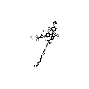 COC(=O)C1CN(c2ccc3c(c2)[Si](C)(C)c2cc(N4CCC4)ccc2C32OC(=O)c3ccc(C(=O)NCCOCCOCCCCCCCl)cc32)C1